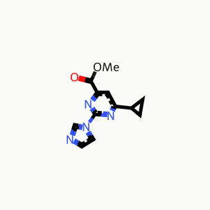 COC(=O)c1cc(C2CC2)nc(-n2ccnc2)n1